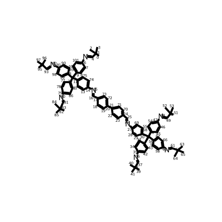 CC(C)(C)/C=N/c1ccc(C(c2ccc(/N=C/c3ccc(-c4ccc(/C=N/c5ccc(C(c6ccc(/N=C/C(C)(C)C)cc6)(c6ccc(/N=C/C(C)(C)C)cc6)c6ccc(/N=C/C(C)(C)C)cc6)cc5)cc4)cc3)cc2)(c2ccc(/N=C/C(C)(C)C)cc2)c2ccc(/N=C/C(C)(C)C)cc2)cc1